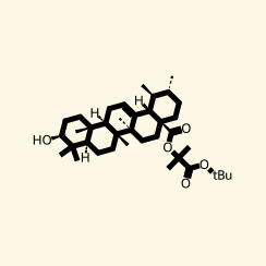 C[C@H]1[C@H](C)CC[C@]2(C(=O)OC(C)(C)C(=O)OC(C)(C)C)CC[C@]3(C)C(=CC[C@@H]4[C@@]5(C)CC[C@H](O)C(C)(C)[C@@H]5CC[C@]43C)[C@H]12